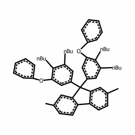 CCCCc1cc(C2(c3cc(CCCC)c(CCCC)c(Oc4ccccc4)c3)c3cc(C)ccc3-c3ccc(C)cc32)cc(Oc2ccccc2)c1CCCC